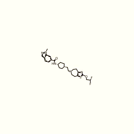 Cn1ncc2ccc(C(=O)N[C@H]3CC[C@H](CCN4CCc5nc(OCC(F)F)sc5CC4)CC3)cc21